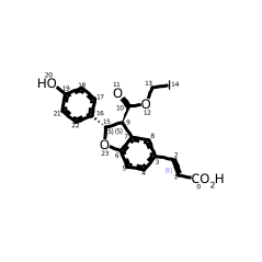 O=C(O)/C=C/c1ccc2c(c1)[C@H](C(=O)OCI)[C@@H](c1ccc(O)cc1)O2